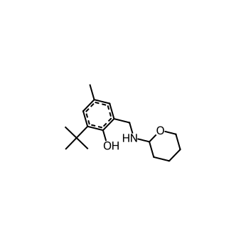 Cc1cc(CNC2CCCCO2)c(O)c(C(C)(C)C)c1